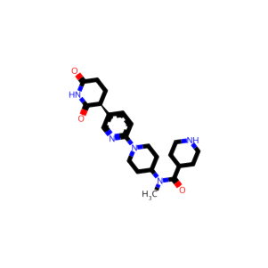 CN(C(=O)C1CCNCC1)C1CCN(c2ccc([C@@H]3CCC(=O)NC3=O)cn2)CC1